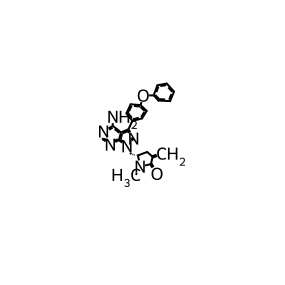 C=C1C[C@@H](Cn2nc(-c3ccc(Oc4ccccc4)cc3)c3c(N)ncnc32)N(C)C1=O